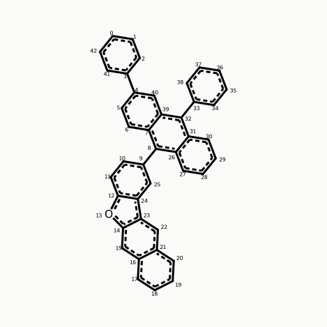 c1ccc(-c2ccc3c(-c4ccc5oc6cc7ccccc7cc6c5c4)c4ccccc4c(-c4ccccc4)c3c2)cc1